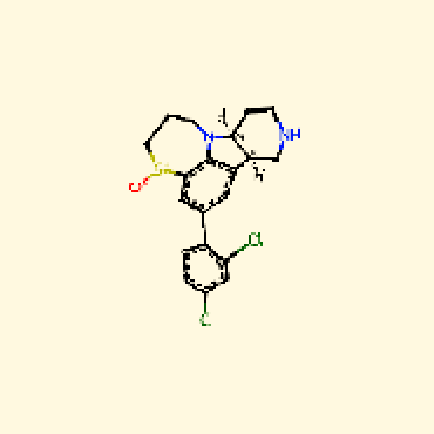 [O-][S+]1CCCN2c3c(cc(-c4ccc(Cl)cc4Cl)cc31)[C@@H]1CNCC[C@@H]12